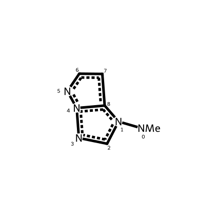 CNn1cnn2nccc12